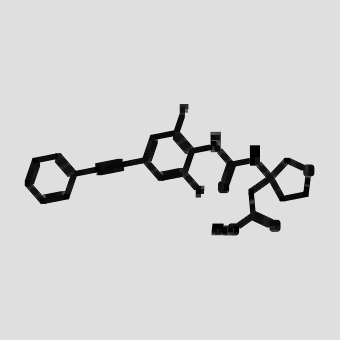 COC(=O)CC1(NC(=O)Nc2c(F)cc(C#Cc3ccccc3)cc2F)CCOC1